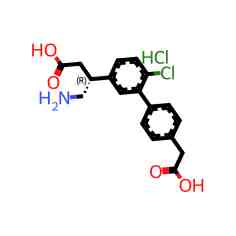 Cl.NC[C@H](CC(=O)O)c1ccc(Cl)c(-c2ccc(CC(=O)O)cc2)c1